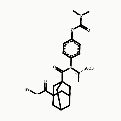 CC(C)OC(=O)C12CC3CC(C1)CC(C(=O)N(c1ccc(OC(=O)N(C)C)cc1)[C@@H](C)C(=O)O)(C3)C2